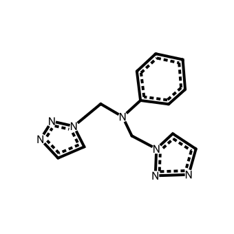 c1ccc(N(Cn2ccnn2)Cn2ccnn2)cc1